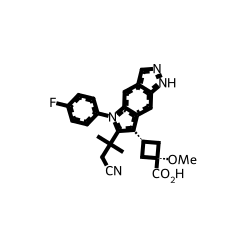 CO[C@]1(C(=O)O)C[C@H](c2c(C(C)(C)CC#N)n(-c3ccc(F)cc3)c3cc4cn[nH]c4cc32)C1